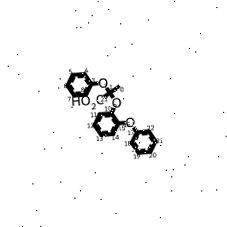 CC(Oc1ccccc1)(Oc1ccccc1Oc1ccccc1)C(=O)O